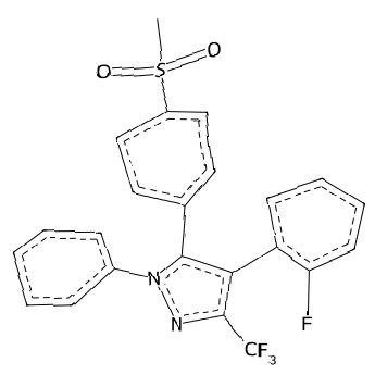 CS(=O)(=O)c1ccc(-c2c(-c3ccccc3F)c(C(F)(F)F)nn2-c2ccccc2)cc1